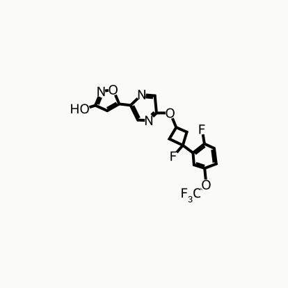 Oc1cc(-c2cnc(OC3CC(F)(c4cc(OC(F)(F)F)ccc4F)C3)cn2)on1